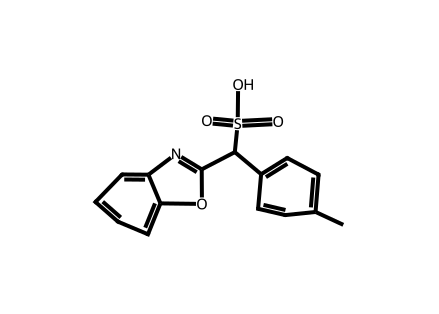 Cc1ccc(C(c2nc3ccccc3o2)S(=O)(=O)O)cc1